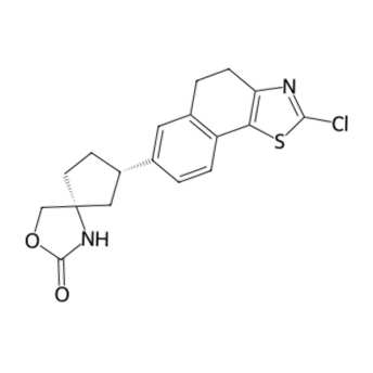 O=C1N[C@@]2(CC[C@H](c3ccc4c(c3)CCc3nc(Cl)sc3-4)C2)CO1